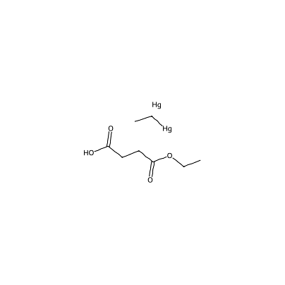 CCOC(=O)CCC(=O)O.C[CH2][Hg].[Hg]